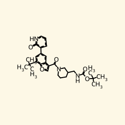 CC(C)(C)OC(=O)NCC1CCCN(C(=O)c2coc3c(C(C)(C)C)cc(-c4ccc[nH]c4=O)cc23)C1